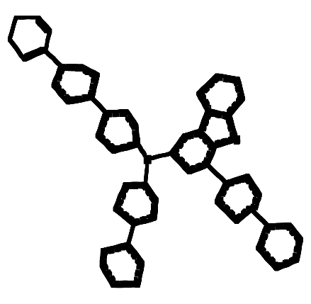 C1=CC(c2ccc(-c3ccc(N(c4ccc(-c5ccccc5)cc4)c4cc(-c5ccc(-c6ccccc6)cc5)c5sc6ccccc6c5c4)cc3)cc2)=CCC1